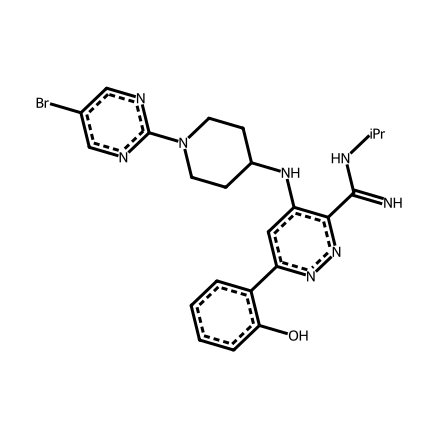 CC(C)NC(=N)c1nnc(-c2ccccc2O)cc1NC1CCN(c2ncc(Br)cn2)CC1